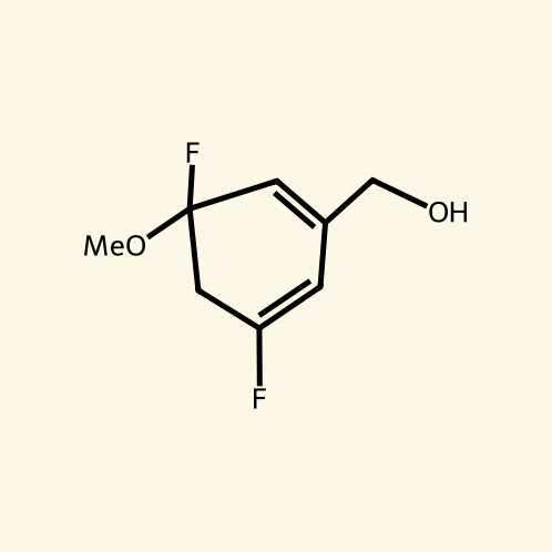 COC1(F)C=C(CO)C=C(F)C1